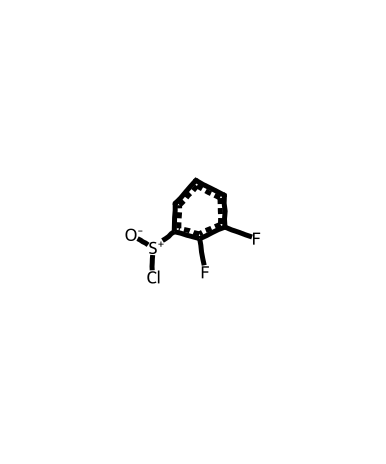 [O-][S+](Cl)c1cccc(F)c1F